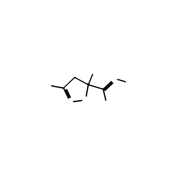 CC1=NOC(C)(/C(N)=N/O)C1